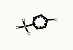 Clc1ccc(S(Cl)(Cl)Cl)cc1